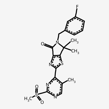 Cc1cnc(S(C)(=O)=O)nc1-c1nc2c(s1)C(C)(C)N(Cc1cccc(F)c1)C2=O